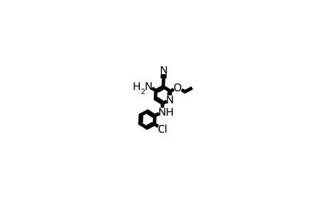 CCOc1nc(Nc2ccccc2Cl)cc(N)c1C#N